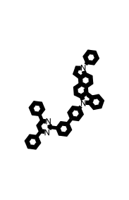 c1ccc(-c2cc(-c3ccccc3)nc(-c3cccc(-c4ccc(-n5c6ccccc6c6c7ccc8c(ccn8-c8ccccc8)c7ccc65)cc4)c3)n2)cc1